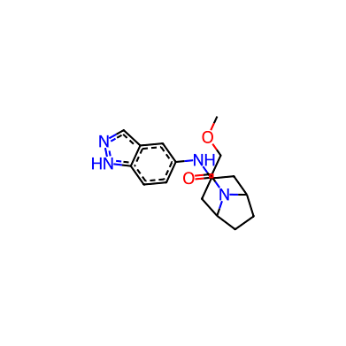 COCC(=O)N1C2CCC1CC(Nc1ccc3[nH]ncc3c1)C2